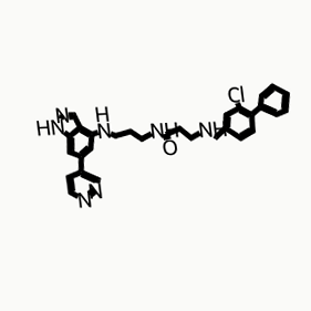 O=C(CCNCc1ccc(-c2ccccc2)c(Cl)c1)NCCCNc1cc(-c2ccnnc2)cc2[nH]ncc12